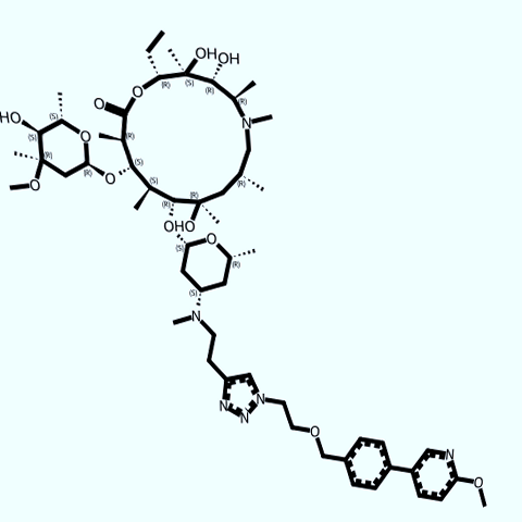 CC[C@H]1OC(=O)[C@H](C)[C@@H](O[C@H]2C[C@@](C)(OC)[C@@H](O)[C@H](C)O2)[C@H](C)[C@@H](O[C@H]2C[C@@H](N(C)CCc3cn(CCOCc4ccc(-c5ccc(OC)nc5)cc4)nn3)C[C@@H](C)O2)[C@](C)(O)C[C@@H](C)CN(C)[C@H](C)[C@@H](O)[C@]1(C)O